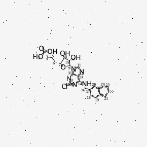 O=P(O)(O)CCC[C@H]1O[C@@H](n2cnc3c(NCc4ccc5ccccc5c4)nc(Cl)nc32)[C@@H](O)C1O